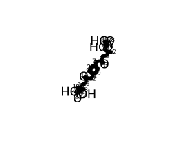 CC(C)(CCC(=O)Cc1ccc(CC(=O)CCC(C)(C)P(=O)(O)O)cc1)OP(=O)(O)O